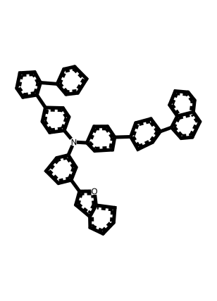 c1ccc(-c2ccccc2-c2ccc(N(c3ccc(-c4ccc(-c5cccc6ccccc56)cc4)cc3)c3cccc(-c4cc5ccccc5o4)c3)cc2)cc1